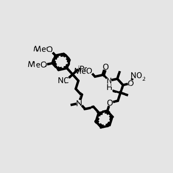 COCC(=O)NC(C)C(O[N+](=O)[O-])C(C)(C)COc1ccccc1CCN(C)CCCC(C#N)(c1ccc(OC)c(OC)c1)C(C)C